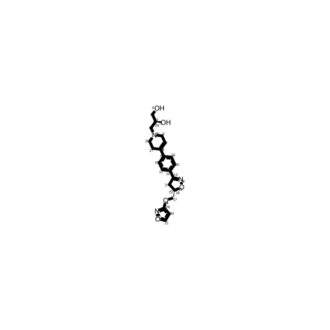 OC[C@@H](O)CN1CC=C(c2ccc(C3=NO[C@H](COc4ccon4)C3)cc2)CC1